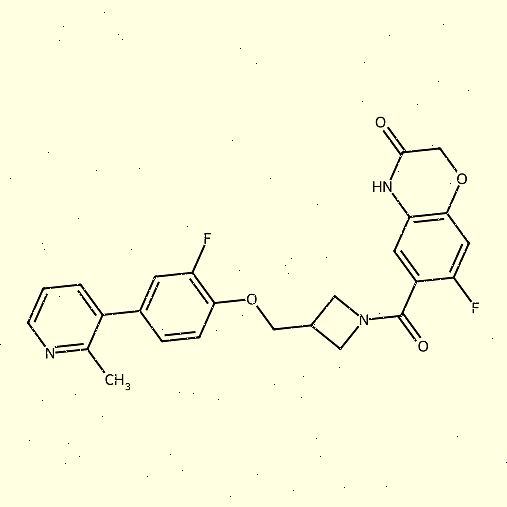 Cc1ncccc1-c1ccc(OCC2CN(C(=O)c3cc4c(cc3F)OCC(=O)N4)C2)c(F)c1